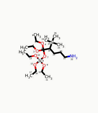 CCOC(OCC)(O[Si](OCC)(OCC)OCC)C(CCCN)[Si](C)(C)C